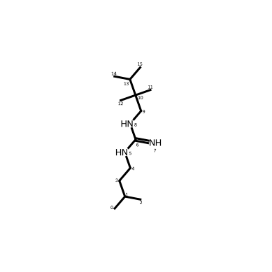 CC(C)CCNC(=N)NCC(C)(C)C(C)C